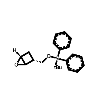 CC(C)(C)[Si](OC[C@H]1C[C@H]2OC12)(c1ccccc1)c1ccccc1